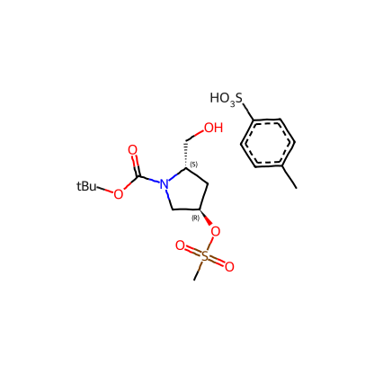 CC(C)(C)OC(=O)N1C[C@H](OS(C)(=O)=O)C[C@H]1CO.Cc1ccc(S(=O)(=O)O)cc1